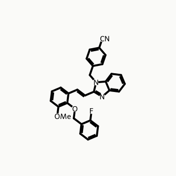 COc1cccc(/C=C/c2nc3ccccc3n2Cc2ccc(C#N)cc2)c1OCc1ccccc1F